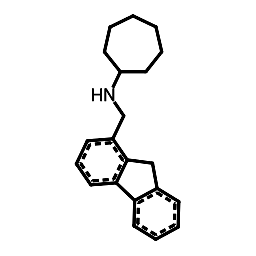 c1ccc2c(c1)Cc1c(CNC3CCCCCC3)cccc1-2